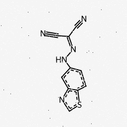 N#CC(C#N)=NNc1ccc2scnc2c1